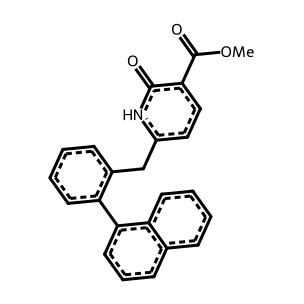 COC(=O)c1ccc(Cc2ccccc2-c2cccc3ccccc23)[nH]c1=O